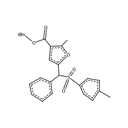 Cc1ccc(S(=O)(=O)C(c2ccccc2)c2cc(C(=O)OC(C)(C)C)c(C)o2)cc1